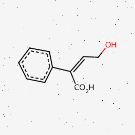 O=C(O)/C(=C\CO)c1ccccc1